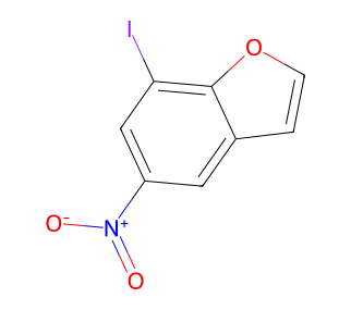 O=[N+]([O-])c1cc(I)c2occc2c1